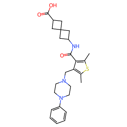 Cc1sc(C)c(C(=O)NC2CC3(C2)CC(C(=O)O)C3)c1CN1CCN(c2ccccc2)CC1